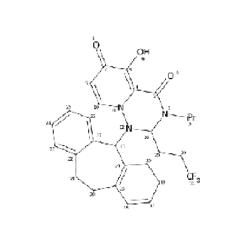 CC(C)N1C(=O)c2c(O)c(=O)ccn2N(C2C3=C(C=CCC3)CCc3ccccc32)C1CCC(F)(F)F